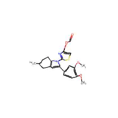 COc1ccc(-c2cc3c(n2-c2nc(OC=O)cs2)CCC(C)C3)cc1OC